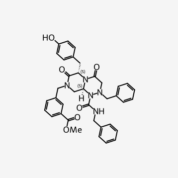 COC(=O)c1cccc(CN2C[C@H]3N(C(=O)CN(Cc4ccccc4)N3C(=O)NCc3ccccc3)[C@@H](Cc3ccc(O)cc3)C2=O)c1